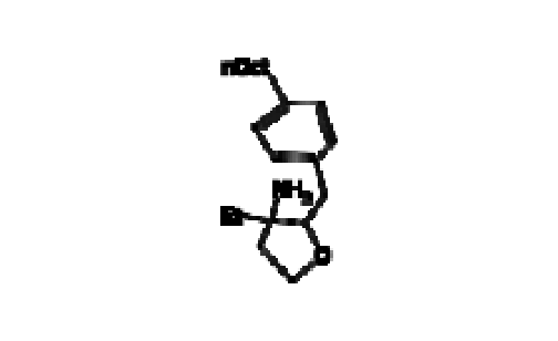 CCCCCCCCc1ccc(CC2OCCC2(N)CC)cc1